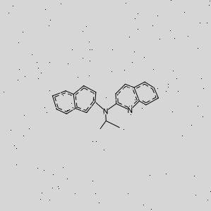 CC(C)N(c1ccc2ccccc2c1)c1ccc2ccccc2n1